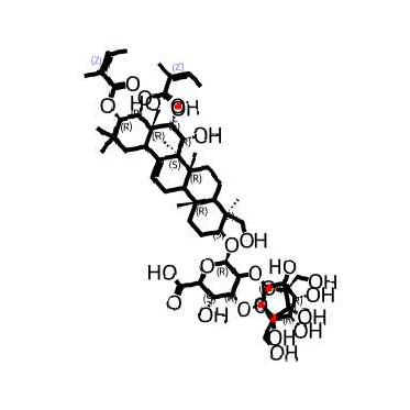 C/C=C(/C)C(=O)O[C@H]1[C@H](OC(=O)/C(C)=C\C)[C@@]2(CO)C(CC1(C)C)C1=CCC3[C@@]4(C)CC[C@H](O[C@@H]5OC(C(=O)O)[C@@H](O)[C@@H](O[C@@H]6O[C@@H](CO)[C@@H](O)C6O)C5O[C@@H]5OC(CO)[C@H](O)[C@@H](O)C5O)[C@](C)(CO)C4CC[C@@]3(C)[C@]1(C)[C@@H](O)[C@H]2O